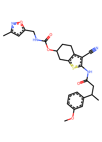 COc1cccc(C(C)CC(=O)Nc2sc3c(c2C#N)CCC(OC(=O)NCc2cc(C)no2)C3)c1